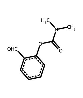 CN(C)C(=O)Oc1ccccc1C=O